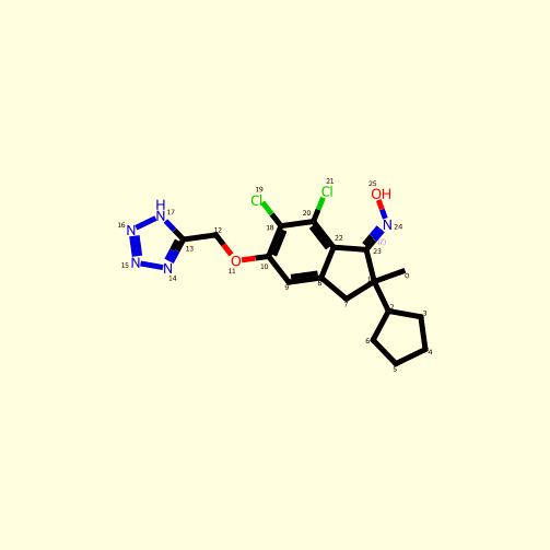 CC1(C2CCCC2)Cc2cc(OCc3nnn[nH]3)c(Cl)c(Cl)c2/C1=N\O